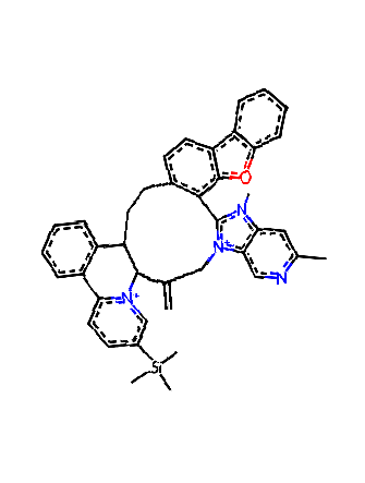 C=C1C[n+]2c(n(C)c3cc(C)ncc32)-c2c(ccc3c2oc2ccccc23)CCC2c3ccccc3-c3ccc([Si](C)(C)C)c[n+]3C12